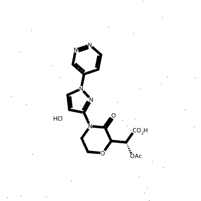 CC(=O)O[C@@H](C(=O)O)C1OCCN(c2ccn(-c3ccnnc3)n2)C1=O.Cl